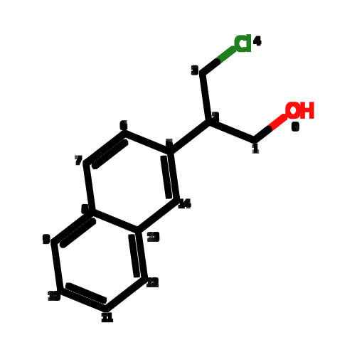 OCC(CCl)c1ccc2ccccc2c1